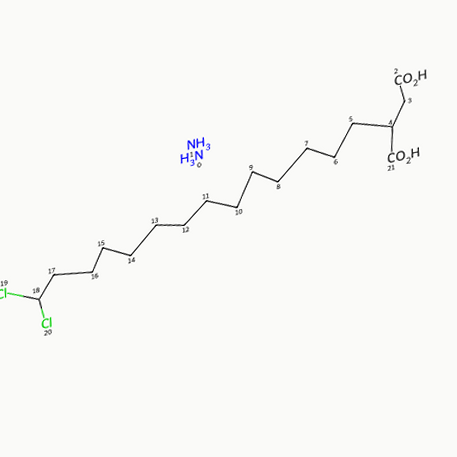 N.N.O=C(O)CC(CCCCCCCCCCCCCC(Cl)Cl)C(=O)O